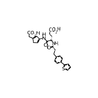 O=C(O)CC[C@H](NC(=O)CCc1ccc(-c2cccs2)cc1)C(=O)NC1=CCC(CC(=O)O)=C1